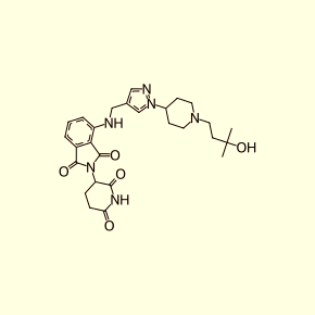 CC(C)(O)CCN1CCC(n2cc(CNc3cccc4c3C(=O)N(C3CCC(=O)NC3=O)C4=O)cn2)CC1